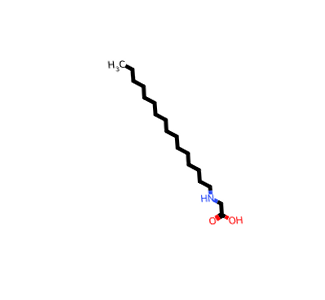 CCCCCCCCCCCCCCCCNCC(=O)O